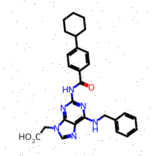 O=C(O)Cn1cnc2c(NCc3ccccc3)nc(NC(=O)c3ccc(C4CCCCC4)cc3)nc21